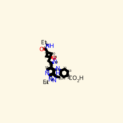 CCNC(=O)C1CC2(CC(c3cnc4c(c(C)nn4CC)c3NC3CCC(C(=O)O)CC3)=NO2)C1